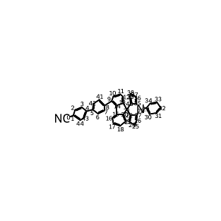 N#Cc1ccc(-c2ccc(-c3cccc4c3-c3ccccc3C43c4ccccc4N(c4ccccc4)c4ccccc43)cc2)cc1